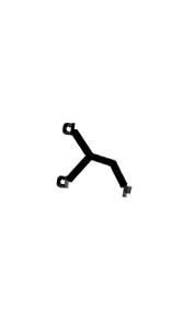 FCC(Cl)Cl